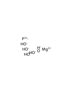 [Mg+2].[OH-].[OH-].[OH-].[OH-].[OH-].[P+3]